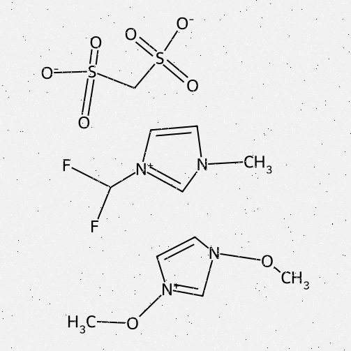 COn1cc[n+](OC)c1.Cn1cc[n+](C(F)F)c1.O=S(=O)([O-])CS(=O)(=O)[O-]